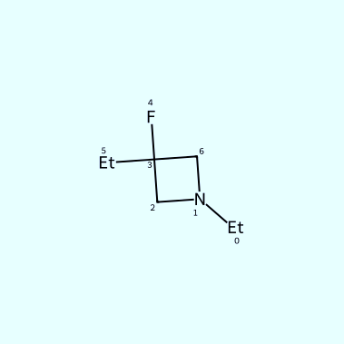 CCN1CC(F)(CC)C1